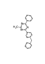 Cc1nc(-c2ccccc2)nc(-c2ccc(Cc3ccccc3)cc2)n1